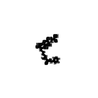 CN(CCCCC(NC(=O)N[C@@H](CCC(=O)O)C(=O)O)C(=O)O)C(=O)OCc1ccccc1